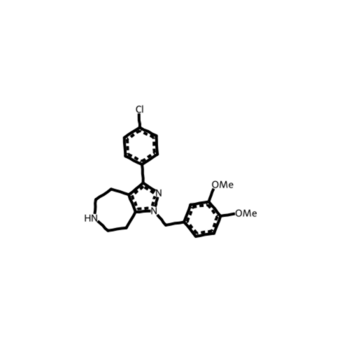 COc1ccc(Cn2nc(-c3ccc(Cl)cc3)c3c2CCNCC3)cc1OC